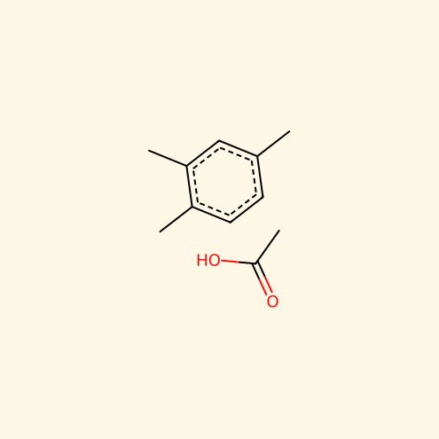 CC(=O)O.Cc1ccc(C)c(C)c1